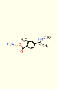 Cc1cc([C@@H](C)NC=O)ccc1C(=O)OSN